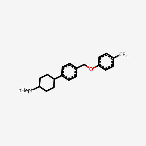 CCCCCCCC1CCC(c2ccc(COc3ccc(C(F)(F)F)cc3)cc2)CC1